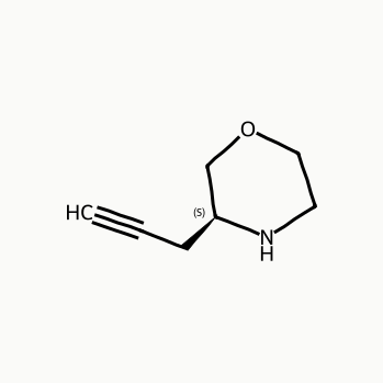 C#CC[C@H]1COCCN1